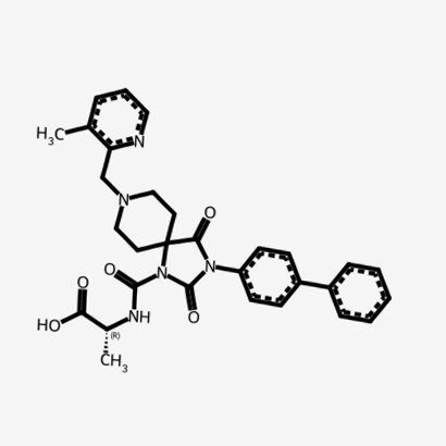 Cc1cccnc1CN1CCC2(CC1)C(=O)N(c1ccc(-c3ccccc3)cc1)C(=O)N2C(=O)N[C@H](C)C(=O)O